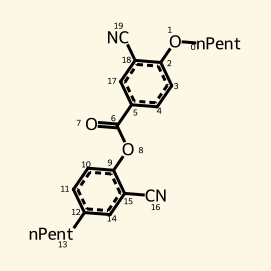 CCCCCOc1ccc(C(=O)Oc2ccc(CCCCC)cc2C#N)cc1C#N